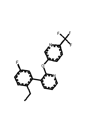 CCc1ccc(F)cc1-c1cccnc1Oc1ccc(C(F)(F)F)nc1